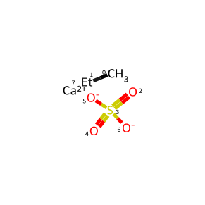 CCC.O=S(=O)([O-])[O-].[Ca+2]